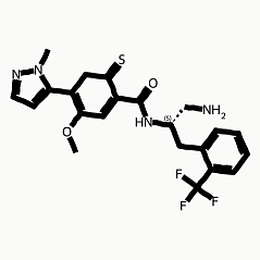 COC1=C(c2ccnn2C)CC(=S)C(C(=O)N[C@H](CN)Cc2ccccc2C(F)(F)F)=C1